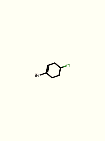 CC(C)C1=CCC(Cl)CC1